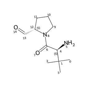 CC(C)(C)[C@H](N)C(=O)N1CCC[C@H]1C=O